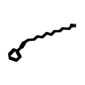 OCCCCCCCCCCC#Cc1ccccc1